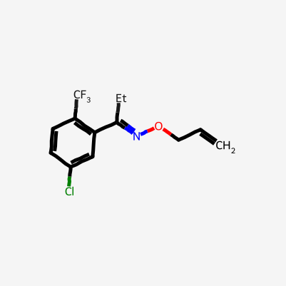 C=CCO/N=C(\CC)c1cc(Cl)ccc1C(F)(F)F